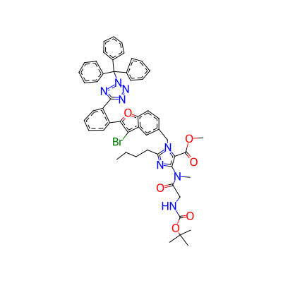 CCCCc1nc(N(C)C(=O)CNC(=O)OC(C)(C)C)c(C(=O)OC)n1Cc1ccc2oc(-c3ccccc3-c3nnn(C(c4ccccc4)(c4ccccc4)c4ccccc4)n3)c(Br)c2c1